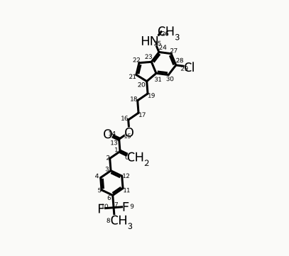 C=C(Cc1ccc(C(C)(F)F)cc1)C(=O)OCCCCC1C=Cc2c(NC)cc(Cl)cc21